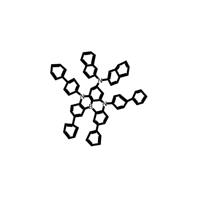 c1ccc(-c2ccc(N3c4ccc(-c5ccccc5)cc4B4c5cc(-c6ccccc6)ccc5N(c5ccc(-c6ccccc6)cc5)c5cc(N(c6ccc7ccccc7c6)c6ccc7ccccc7c6)cc3c54)cc2)cc1